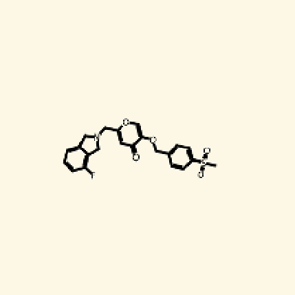 CS(=O)(=O)c1ccc(COc2coc(CN3Cc4cccc(F)c4C3)cc2=O)cc1